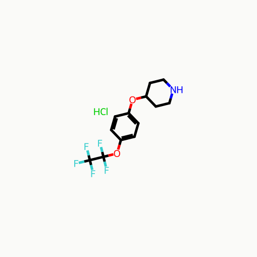 Cl.FC(F)(F)C(F)(F)Oc1ccc(OC2CCNCC2)cc1